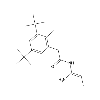 CC=C(N)NC(=O)Cc1cc(C(C)(C)C)cc(C(C)(C)C)c1C